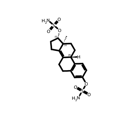 C[C@]12CC[C@H]3C(=C1CC[C@@H]2OS(N)(=O)=O)CCc1cc(OS(N)(=O)=O)ccc13